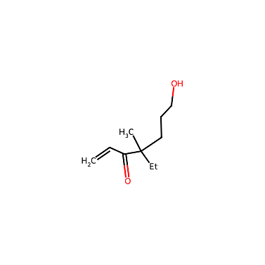 [CH2]CC(C)(CCCO)C(=O)C=C